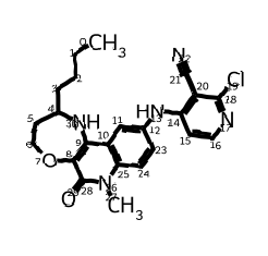 CCCCC1CCOc2c(c3cc(Nc4ccnc(Cl)c4C#N)ccc3n(C)c2=O)N1